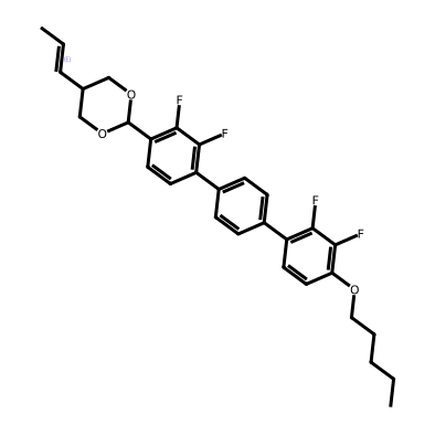 C/C=C/C1COC(c2ccc(-c3ccc(-c4ccc(OCCCCC)c(F)c4F)cc3)c(F)c2F)OC1